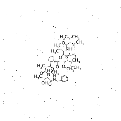 CC[C@H](C)[C@@H]([C@@H](CC(=O)N1CCC[C@H]1[C@H](OC)[C@@H](C)C(=O)N[C@H](C(=O)NCc1ccccc1)[C@@H](C)O)OC)N(C)C(=O)[C@@H](NC(=O)[C@@H](NC)C(C)C)C(C)C